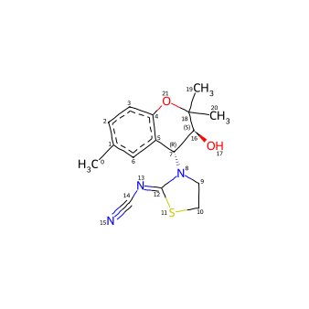 Cc1ccc2c(c1)[C@@H](N1CCSC1=NC#N)[C@H](O)C(C)(C)O2